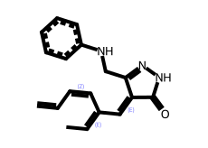 C=C\C=C/C(=C\C)/C=C1/C(=O)NN=C1CNc1ccccc1